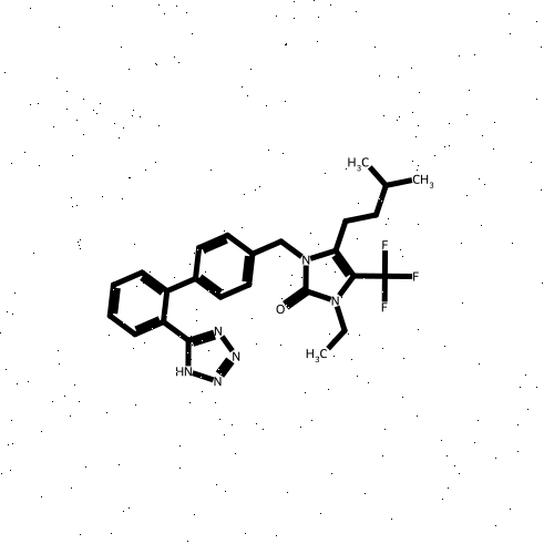 CCn1c(C(F)(F)F)c(CCC(C)C)n(Cc2ccc(-c3ccccc3-c3nnn[nH]3)cc2)c1=O